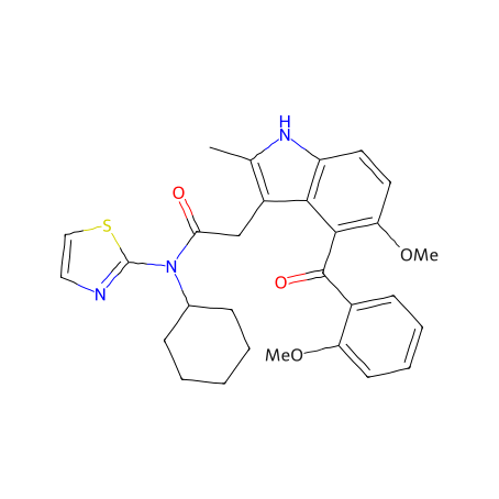 COc1ccccc1C(=O)c1c(OC)ccc2[nH]c(C)c(CC(=O)N(c3nccs3)C3CCCCC3)c12